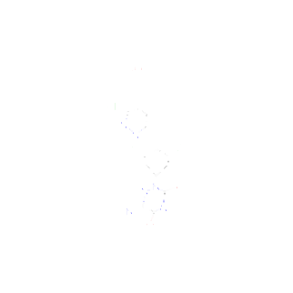 Nc1nn(-c2cc(Cl)c(Oc3cc(C4CCOOC4)c(Cl)nn3)c(Cl)c2)c(=O)[nH]c1=O